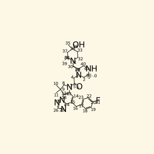 C[C@@H]1CN(CC(=O)N2CC(C)(C)c3c2cc(Cc2ccc(F)cc2)c2ncnn32)[C@@H](CN2CCC(C)(O)C[C@H]2C)CN1